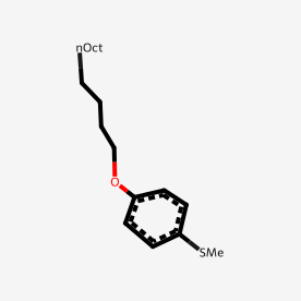 CCCCCCCCCCCCOc1ccc(SC)cc1